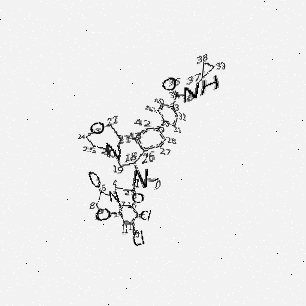 CN(C(=O)CN1C(=O)COc2cc(Cl)c(Cl)cc21)C(CN1CCOCC1)c1ccc(-c2ccc(C(=O)NC3CC3)cc2)cc1